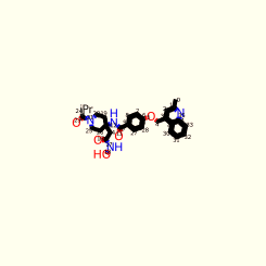 Cc1cc(COc2ccc(C(=O)NC3(CC(=O)NO)CCN(C(=O)C(C)C)CC3)cc2)c2ccccc2n1